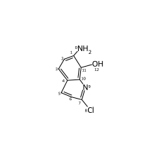 Nc1ccc2ccc(Cl)nc2c1O